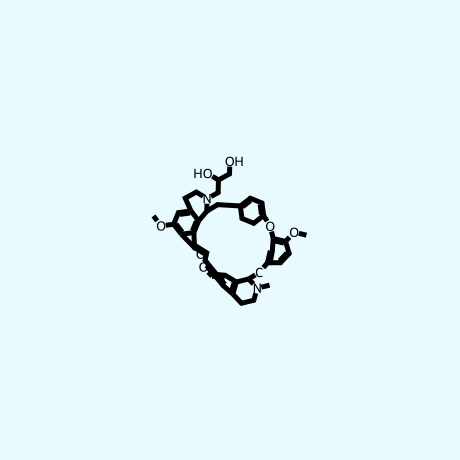 COc1ccc2cc1OC1=CC=C(CC1)CC1c3c(cc(OC)c4oc5cc6c(cc5occc34)C(C2)N(C)CC6)CCN1CC(O)CO